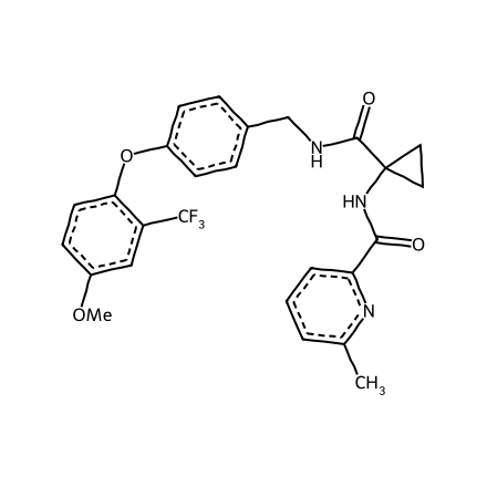 COc1ccc(Oc2ccc(CNC(=O)C3(NC(=O)c4cccc(C)n4)CC3)cc2)c(C(F)(F)F)c1